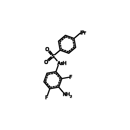 CC(C)c1ccc(S(=O)(=O)[AsH]c2ccc(F)c(N)c2F)cc1